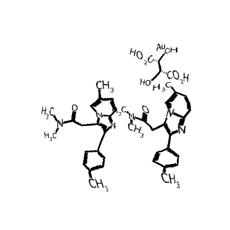 Cc1ccc(-c2nc3ccc(C)cn3c2CC(=O)N(C)C)cc1.Cc1ccc(-c2nc3ccc(C)cn3c2CC(=O)N(C)C)cc1.O=C(O)[C@H](O)[C@@H](O)C(=O)O.[Au]